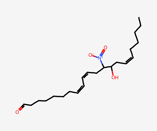 CCCCC/C=C\CC(O)C(C/C=C\C=C/CCCCCC[C]=O)[N+](=O)[O-]